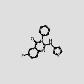 O=c1c2cc(F)ccc2nc(Nc2ccsc2)n1-c1ccccc1